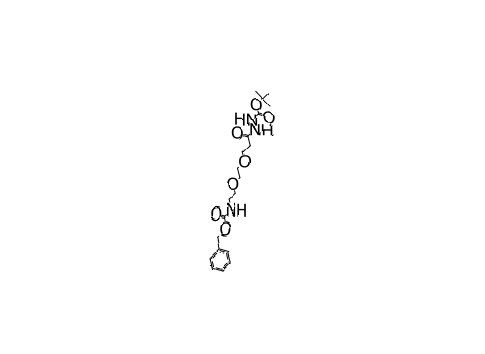 CC(C)(C)OC(=O)NNC(=O)CCOCCOCCNC(=O)OCc1ccccc1